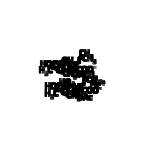 CC(=O)O[C@H]1C[C@@]2(C)[C@H](C[C@@H](O)C3[C@@]4(C)CC[C@@H](O)[C@@H](C)C4CC[C@@]32C)C1=C(CCC=C(C)C)C(=O)[O-].CC(=O)O[C@H]1C[C@@]2(C)[C@H](C[C@@H](O)C3[C@@]4(C)CC[C@@H](O)[C@@H](C)C4CC[C@@]32C)C1=C(CCC=C(C)C)C(=O)[O-].[Pb+2]